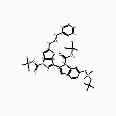 CC(C)(C)C[Si](C)(C)Oc1ccc2cc(-c3nn(C(=O)OC(C)(C)C)c4cc(COCc5ccccc5)sc34)n(C(=O)OC(C)(C)C)c2c1